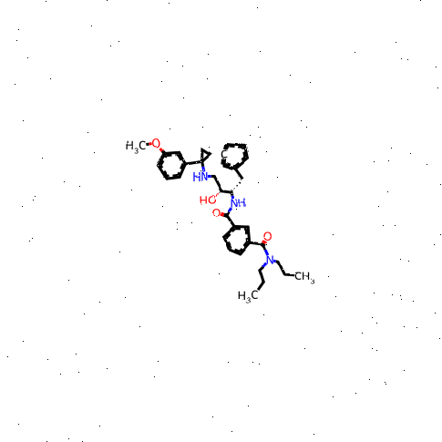 CCCN(CCC)C(=O)c1cccc(C(=O)N[C@@H](Cc2ccccc2)[C@H](O)CNC2(c3cccc(OC)c3)CC2)c1